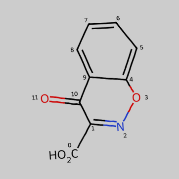 O=C(O)c1noc2ccccc2c1=O